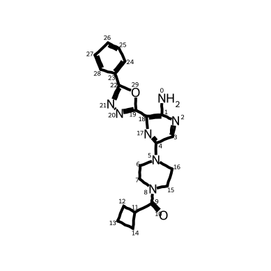 Nc1ncc(N2CCN(C(=O)C3CCC3)CC2)nc1-c1nnc(-c2ccccc2)o1